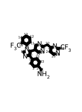 NCc1ccc(-c2ncn(-c3cc[c]cc3C(F)(F)F)c2-c2cnc(Cc3ccnc(C(F)(F)F)n3)nc2)cc1